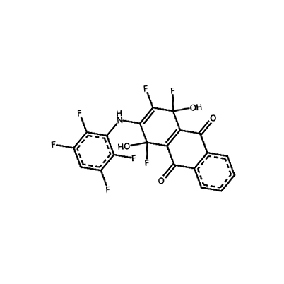 O=C1C2=C(C(=O)c3ccccc31)C(O)(F)C(Nc1c(F)c(F)cc(F)c1F)=C(F)C2(O)F